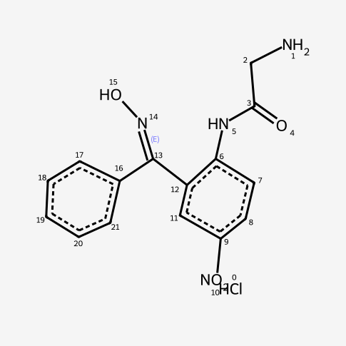 Cl.NCC(=O)Nc1ccc([N+](=O)[O-])cc1/C(=N/O)c1ccccc1